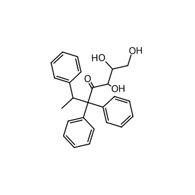 CC(c1ccccc1)C(C(=O)C(O)C(O)CO)(c1ccccc1)c1ccccc1